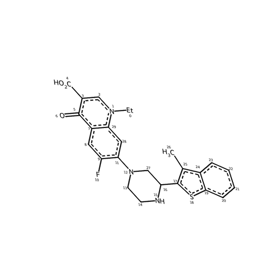 CCn1cc(C(=O)O)c(=O)c2cc(F)c(N3CCNC(c4sc5ccccc5c4C)C3)cc21